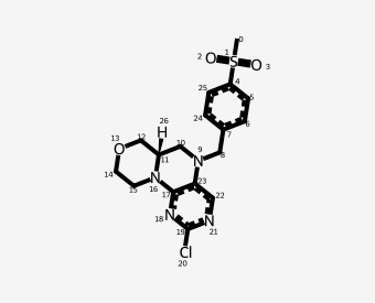 CS(=O)(=O)c1ccc(CN2C[C@H]3COCCN3c3nc(Cl)ncc32)cc1